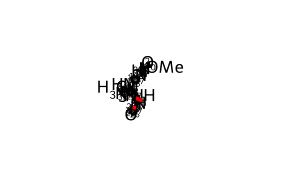 COC(=O)N1C[C@H]2C1CN2[C@H]1CC[C@H](Nc2nc(Nc3cnn(C4CCOCC4)c3)nc3snc(C)c23)CC1